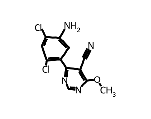 COc1ncnc(-c2cc(N)c(Cl)cc2Cl)c1C#N